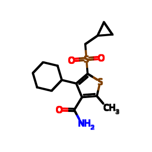 Cc1sc(S(=O)(=O)CC2CC2)c(C2CCCCC2)c1C(N)=O